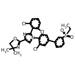 CCS(=O)(=O)c1cccc(-c2ccc(-n3cc(C4=NC(C)(C)CO4)nc3-c3c(Cl)cccc3Cl)c(Cl)c2)c1